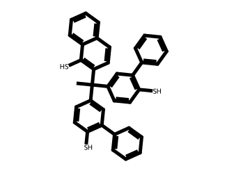 CC(c1ccc(S)c(-c2ccccc2)c1)(c1ccc(S)c(-c2ccccc2)c1)c1ccc2ccccc2c1S